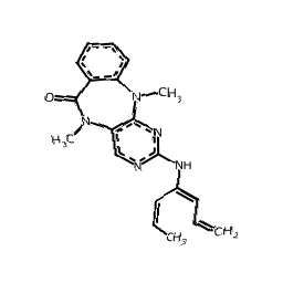 C=C/C=C(\C=C/C)Nc1ncc2c(n1)N(C)c1ccccc1C(=O)N2C